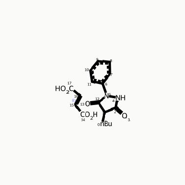 CCCCC1C(=O)NN(c2ccccc2)C1=O.O=C(O)/C=C/C(=O)O